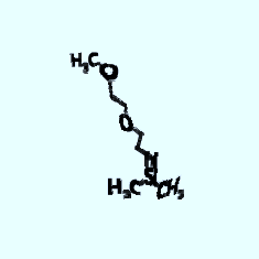 COCCOCCC[SiH](C)C